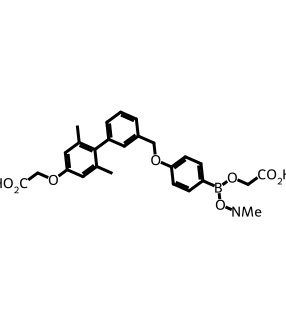 CNOB(OCC(=O)O)c1ccc(OCc2cccc(-c3c(C)cc(OCC(=O)O)cc3C)c2)cc1